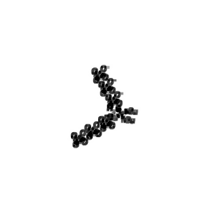 CCCC[N+](C)(CCCC)CCCC.[O]=[Mo](=[O])([O-])[O-].[O]=[Mo](=[O])([O-])[O-].[O]=[Mo](=[O])([O-])[O-].[O]=[Mo](=[O])([O-])[O-].[O]=[Mo](=[O])([O-])[O-].[O]=[Mo](=[O])([O-])[O-]